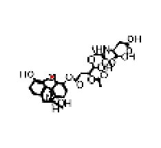 CC(=O)O[C@@H](CC(=O)OC1=CC[C@@]2(O)[C@H]3Cc4ccc(O)c5c4C2(CCN3C)[C@H]1O5)C(O)O[C@@H](C)C(=O)N[C@@H](CC(=O)O)C(=O)O